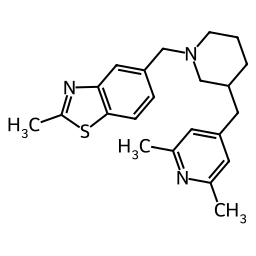 Cc1cc(CC2CCCN(Cc3ccc4sc(C)nc4c3)C2)cc(C)n1